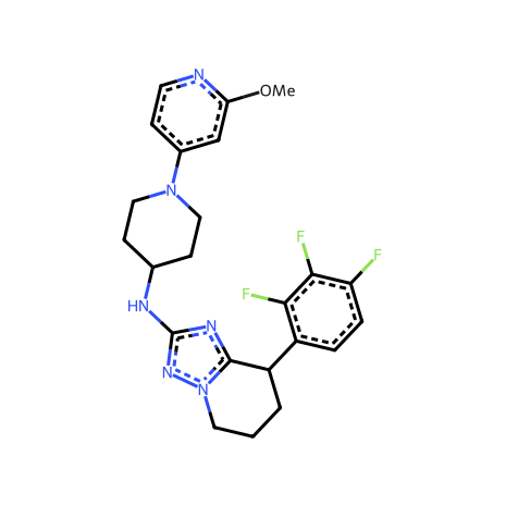 COc1cc(N2CCC(Nc3nc4n(n3)CCCC4c3ccc(F)c(F)c3F)CC2)ccn1